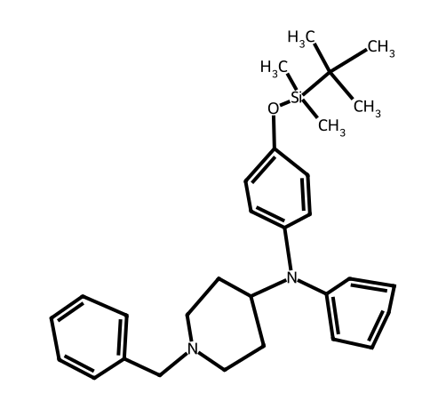 CC(C)(C)[Si](C)(C)Oc1ccc(N(c2ccccc2)C2CCN(Cc3ccccc3)CC2)cc1